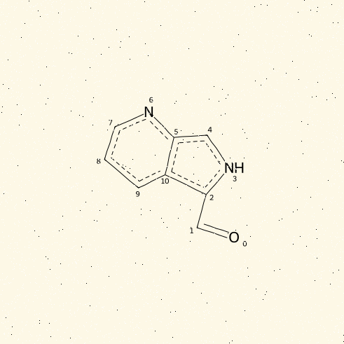 O=Cc1[nH]cc2ncccc12